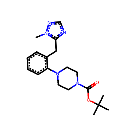 Cn1ncnc1Cc1ccccc1N1CCN(C(=O)OC(C)(C)C)CC1